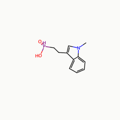 Cn1cc(CC[PH](=O)O)c2ccccc21